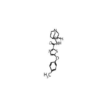 Cc1ccc(Oc2cnc(C(=O)N[C@H]3CN4CCC3CC4)s2)cc1